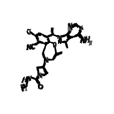 Cc1nn(C(C)c2cc(Cl)c(C#N)c3c2OC(C)CN(C2CN(C(=O)NC(C)C)C2)C3)c2ncnc(N)c12